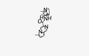 Cc1ccc2cnc(C(=O)N[C@H]3C4CCN(CC4)C3(C)C)cn12